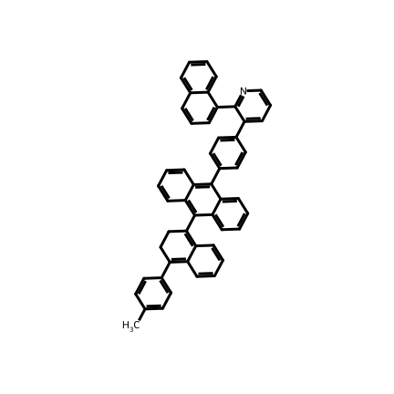 Cc1ccc(C2=c3ccccc3=C(c3c4ccccc4c(-c4ccc(-c5cccnc5-c5cccc6ccccc56)cc4)c4ccccc34)CC2)cc1